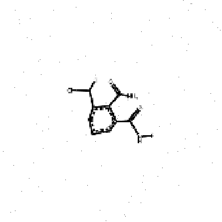 NC(=O)c1c(C(=S)NF)cccc1C(Cl)Cl